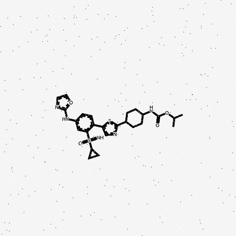 CC(C)OC(=O)NC1CCC(c2ncc(-c3ccc(Nc4ncco4)cc3S(=N)(=O)C3CC3)s2)CC1